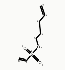 C=CCCCOS(=O)(=O)C=C